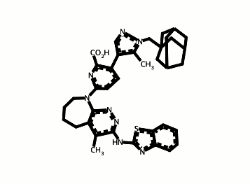 Cc1c(Nc2nc3ccccc3s2)nnc2c1CCCCN2c1ccc(-c2cnn(CC34CC5CC(CC(C5)C3)C4)c2C)c(C(=O)O)n1